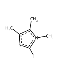 Cc1nc(I)n(C)c1C